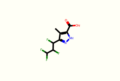 Cc1c(C(F)C(F)C(F)F)n[nH]c1C(=O)O